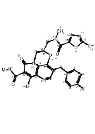 CNC(=O)c1c(O)c2ncc(Cc3ccc(F)cc3)c3c2n(c1=O)C[C@@H](CN(C)C(=O)c1nnc(C)o1)O3